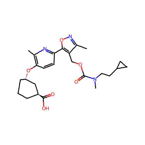 Cc1nc(-c2onc(C)c2COC(=O)N(C)CCC2CC2)ccc1O[C@H]1CCC[C@H](C(=O)O)C1